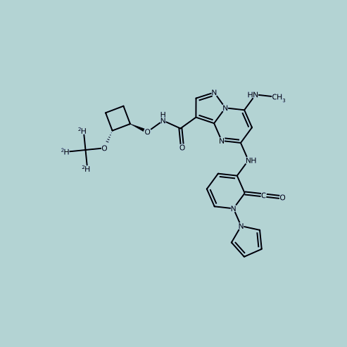 [2H]C([2H])([2H])O[C@@H]1CC[C@H]1ONC(=O)c1cnn2c(NC)cc(NC3=CC=CN(n4cccc4)C3=C=O)nc12